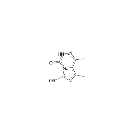 CCCc1nc(C)c2c(C)n[nH]c(=O)n12